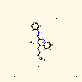 CCCCCCC(C=Nc1ccccc1)=Nc1ccccc1.[Pd]